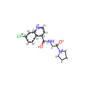 O=C(NCC(=O)N1CCCC1)c1ccnc2cc(Cl)ccc12